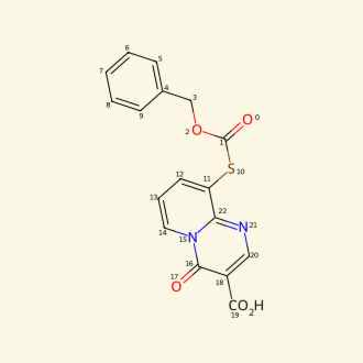 O=C(OCc1ccccc1)Sc1cccn2c(=O)c(C(=O)O)cnc12